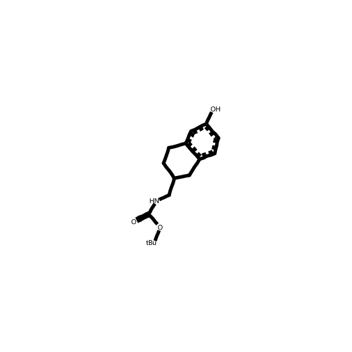 CC(C)(C)OC(=O)NCC1CCc2cc(O)ccc2C1